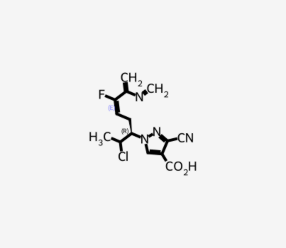 C=NC(=C)/C(F)=C\C[C@H](C(C)Cl)n1cc(C(=O)O)c(C#N)n1